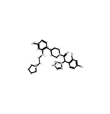 O=C(C(c1ccc(Cl)cc1Cl)N1N=CNN1)N1CCC(c2ccc(Cl)cc2OCCN2CCCC2)CC1